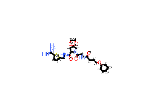 N=C(N)c1ccc(CNC(=O)C2CC3(CN2C(=O)CNC(=O)CCCOc2ccccc2)OCCO3)s1